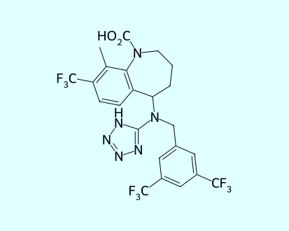 Cc1c(C(F)(F)F)ccc2c1N(C(=O)O)CCCC2N(Cc1cc(C(F)(F)F)cc(C(F)(F)F)c1)c1nnn[nH]1